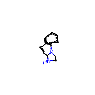 C1=CC2NCCN2c2ccccc21